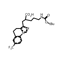 CC(C)(C)OC(=O)NCCCC(Cc1ncn2c1CCc1cc(C(F)(F)F)ccc1-2)C(=O)O